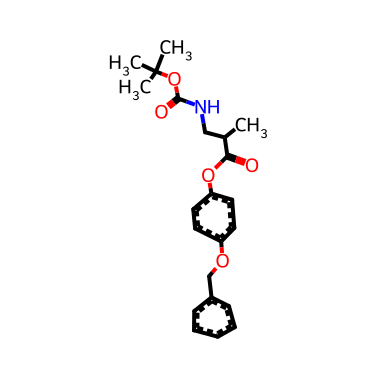 CC(CNC(=O)OC(C)(C)C)C(=O)Oc1ccc(OCc2ccccc2)cc1